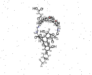 C/C1=C/C=C/[C@H](C)[C@H](OC(=O)CCC(=O)O)[C@@H](C)[C@@H](O)[C@@H](C)[C@H](C)[C@H](C)[C@@H](C)/C=C/O[C@@]2(C)Oc3c(C)c(O)c4c(=O)c(c5oc6cc(N7CCN(CC(C)C)CC7)cc(O)c6nc-5c4c3C2=O)NC1=O